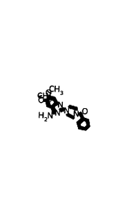 COc1cc2nc(N3CCN(C(=O)C4=CCCCC4)CC3)nc(N)c2cc1OC